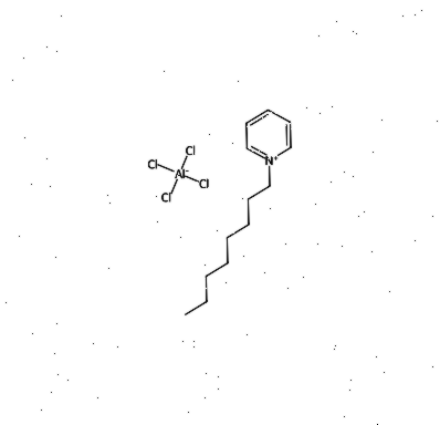 CCCCCCCC[n+]1ccccc1.[Cl][Al-]([Cl])([Cl])[Cl]